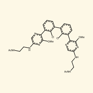 COc1nc(NCCNC(C)=O)cnc1-c1cccc(-c2cccc(-c3ncc(NCCNC(C)=O)nc3OC)c2Cl)c1Cl